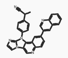 CC(C#N)c1ccc(-n2c3c4cc(-c5cnc6ccccc6c5)ccc4ncc3n3ccnc23)cc1